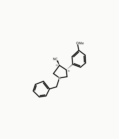 COc1cccc([C@@H]2CN(Cc3ccccc3)C[C@H]2C#N)c1